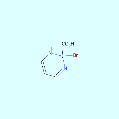 O=C(O)C1(Br)N=CC=CN1